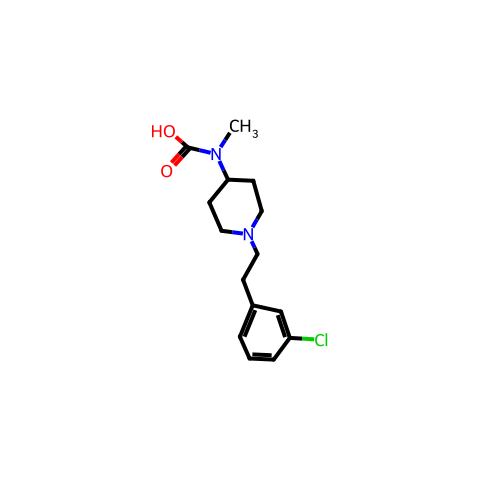 CN(C(=O)O)C1CCN(CCc2cccc(Cl)c2)CC1